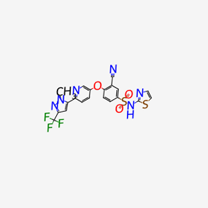 Cn1nc(C(F)(F)F)cc1-c1ccc(Oc2ccc(S(=O)(=O)Nc3nccs3)cc2C#N)cn1